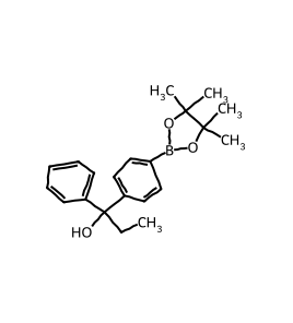 CCC(O)(c1ccccc1)c1ccc(B2OC(C)(C)C(C)(C)O2)cc1